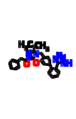 CC(C)c1nn(C(=O)Cc2ccccc2)c(=O)n1Cc1ccc(-c2ccccc2-c2nnn[nH]2)cc1